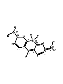 CC1=C2C=CC(=[N+](C)C)C=C2[Si](C)(C)c2cc(N(C)C)ccc21